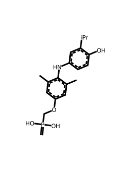 C=P(O)(O)COc1cc(C)c(Nc2ccc(O)c(C(C)C)c2)c(C)c1